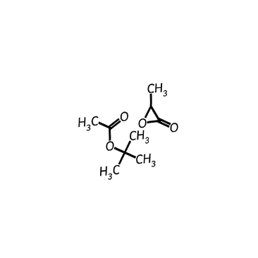 CC(=O)OC(C)(C)C.CC1OC1=O